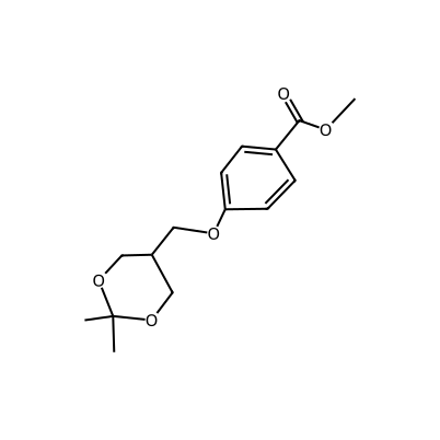 COC(=O)c1ccc(OCC2COC(C)(C)OC2)cc1